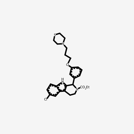 CCOC(=O)N1CCc2c([nH]c3ccc(Cl)cc23)C1c1cccc(OCCCN2CCSCC2)c1